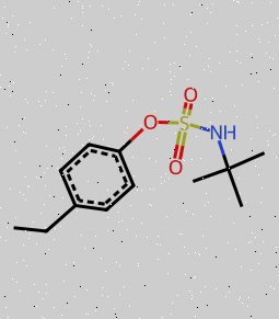 CCc1ccc(OS(=O)(=O)NC(C)(C)C)cc1